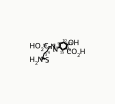 NC(=S)CCC(N=Nc1ccc(O)c(C(=O)O)c1)C(=O)O